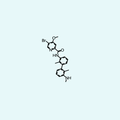 CNc1cccc(-c2cccc(NC(=O)c3cc(OC)c(Br)cn3)c2C)c1C